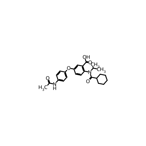 CC(=O)Nc1ccc(Oc2ccc(N(C(=O)C3CCCCC3)C(C)C)c(C(=O)O)c2)cc1